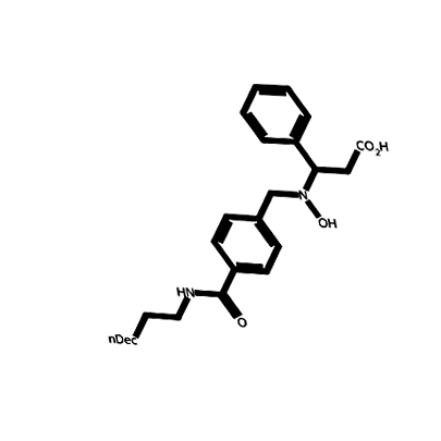 CCCCCCCCCCCCNC(=O)c1ccc(CN(O)C(CC(=O)O)c2ccccc2)cc1